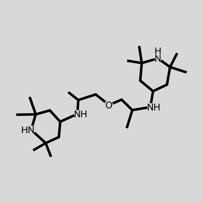 CC(COCC(C)NC1CC(C)(C)NC(C)(C)C1)NC1CC(C)(C)NC(C)(C)C1